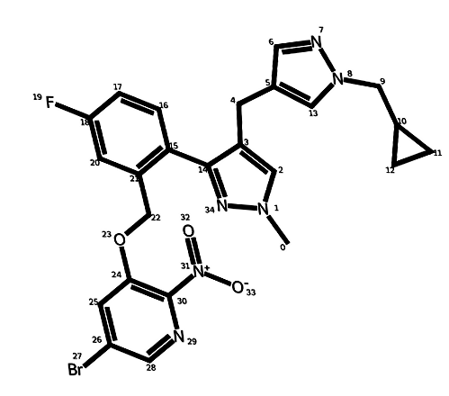 Cn1cc(Cc2cnn(CC3CC3)c2)c(-c2ccc(F)cc2COc2cc(Br)cnc2[N+](=O)[O-])n1